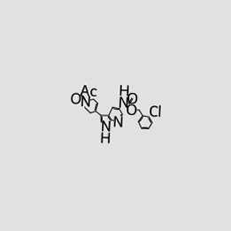 CC(=O)C(=O)N1CC=C(c2c[nH]c3ncc(NC(=O)OCc4ccccc4Cl)cc23)CC1